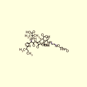 CCC(C)c1nc(/C(=N/OC(C)(C)C(=O)O)C(=O)N[C@@H]2C(=O)N(O)C2SC(C(=O)O)N(OO)C(=O)N/N=C/C=N/OCCNC=O)cs1